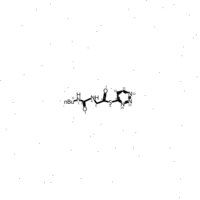 CCCCNC(=O)NCC(=O)Sc1ccnnn1